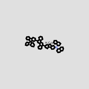 CC1(C)c2cc(-c3cc4c5ccccc5c(-c5ccc6c(c5)C(c5ccccc5)(c5ccccc5)c5ccccc5-6)cc4c4ccccc34)ccc2-c2ccc(N(c3cccc4ccccc34)c3cccc4ccccc34)cc21